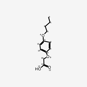 CCCCOc1ccc(OCC(=O)O)cc1